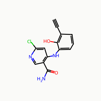 C#Cc1cccc(Nc2cc(Cl)ncc2C(N)=O)c1O